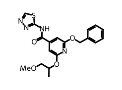 COCC(C)Oc1cc(C(=O)Nc2nncs2)cc(OCc2ccccc2)n1